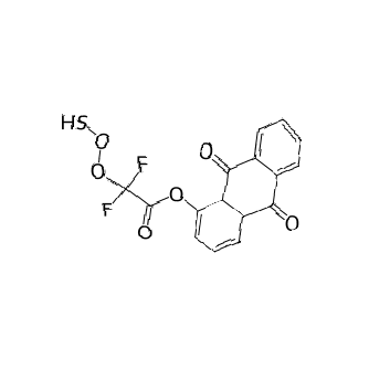 O=C1c2ccccc2C(=O)C2C(OC(=O)C(F)(F)OOS)=CC=CC12